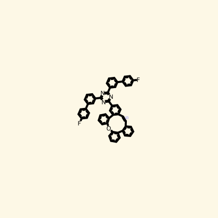 Fc1ccc(-c2cccc(-c3nc(-c4cccc(-c5ccc(F)cc5)c4)nc(-c4ccc5c(c4)-c4ccccc4Oc4ccccc4-c4ccccc4/C=C\5)n3)c2)cc1